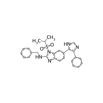 CC(C)S(=O)(=O)n1c(NCc2ccccc2)nc2ccc(-c3[nH]cnc3-c3ccccc3)cc21